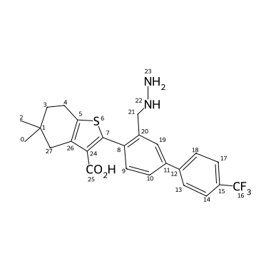 CC1(C)CCc2sc(-c3ccc(-c4ccc(C(F)(F)F)cc4)cc3CNN)c(C(=O)O)c2C1